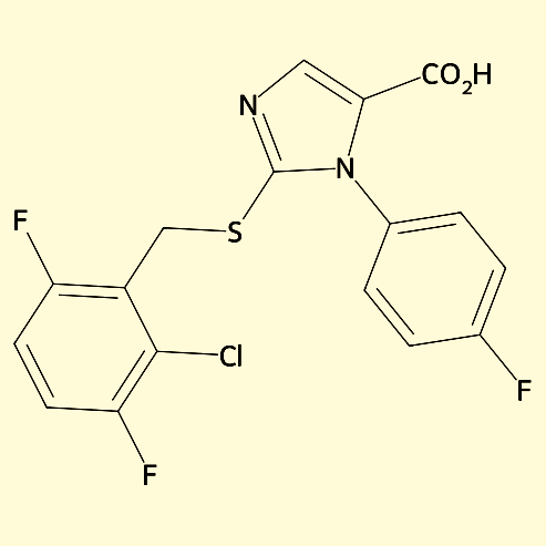 O=C(O)c1cnc(SCc2c(F)ccc(F)c2Cl)n1-c1ccc(F)cc1